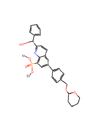 CCOP(=O)(OCC)c1cc(-c2ccc(COC3CCCCO3)cc2)cc2ccc(C(O)c3ccccc3)nc12